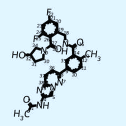 CC(=O)Nc1cn2nc(-c3ccc(C)c(C(=O)NCc4cc(F)cc(F)c4C(=O)N4CCC(O)C4)c3)ccc2n1